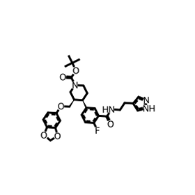 CC(C)(C)OC(=O)N1CC[C@@H](c2ccc(F)c(C(=O)NCCc3cn[nH]c3)c2)[C@@H](COc2ccc3c(c2)OCO3)C1